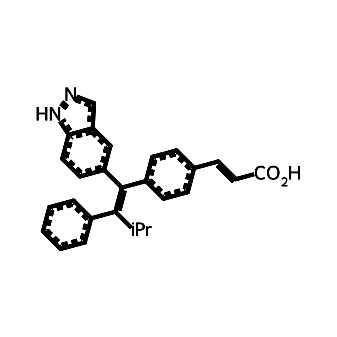 CC(C)C(=C(c1ccc(C=CC(=O)O)cc1)c1ccc2[nH]ncc2c1)c1ccccc1